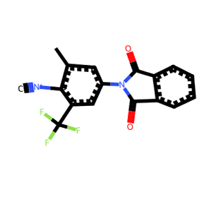 [C-]#[N+]c1c(C)cc(N2C(=O)c3ccccc3C2=O)cc1C(F)(F)F